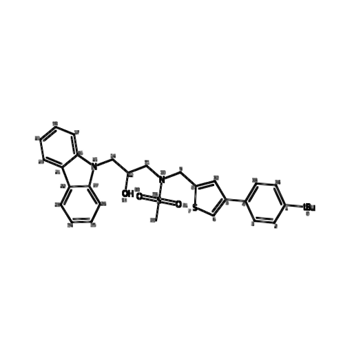 CC(C)(C)c1ccc(-c2csc(CN(CC(O)Cn3c4ccccc4c4ccccc43)S(C)(=O)=O)c2)cc1